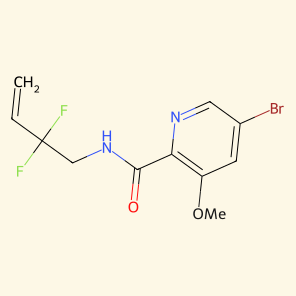 C=CC(F)(F)CNC(=O)c1ncc(Br)cc1OC